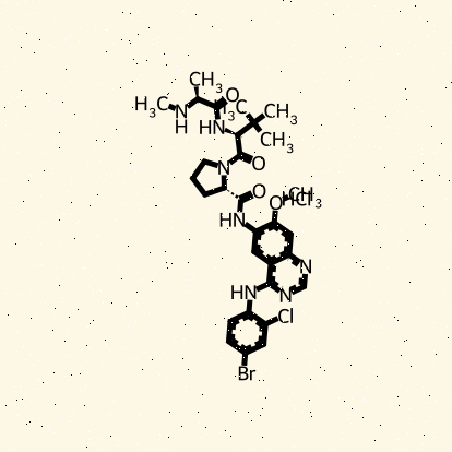 CN[C@@H](C)C(=O)N[C@H](C(=O)N1CCC[C@H]1C(=O)Nc1cc2c(Nc3ccc(Br)cc3Cl)ncnc2cc1OC)C(C)(C)C.Cl